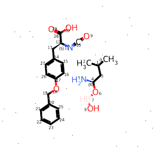 CC(C)C[C@H](N)OBO.O=C=N[C@@H](Cc1ccc(OCc2ccccc2)cc1)C(=O)O